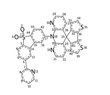 O=S1(=O)c2ccc(-c3ccccn3)cc2-c2cc(N3c4ncccc4C4(c5cccnc53)c3ccsc3-c3sccc34)ccc21